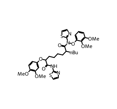 CCCCC(CCCCC(Oc1ccc(OC)c(OC)c1)C(=O)Nc1nccs1)C(=O)N(Oc1cccc(OC)c1OC)c1nccs1